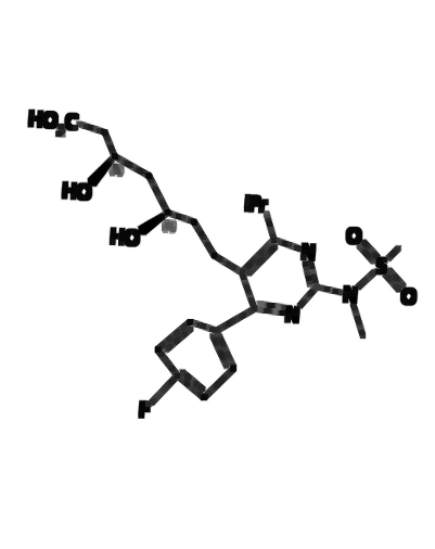 CC(C)c1nc(N(C)S(C)(=O)=O)nc(-c2ccc(F)cc2)c1CC[C@@H](O)C[C@@H](O)CC(=O)O